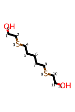 OCCSCCCCCSCCO